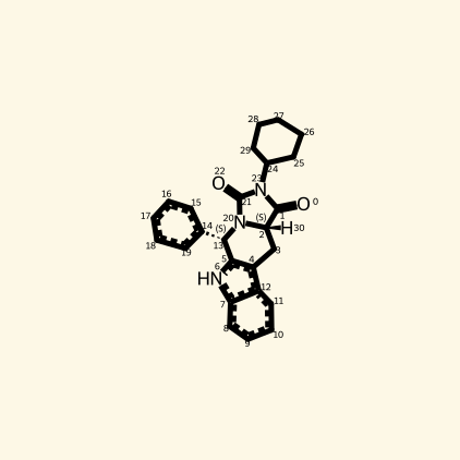 O=C1[C@@H]2Cc3c([nH]c4ccccc34)[C@H](c3ccccc3)N2C(=O)N1C1CCCCC1